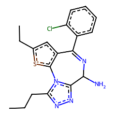 CCCc1nnc2n1-c1sc(CC)cc1C(c1ccccc1Cl)=NC2N